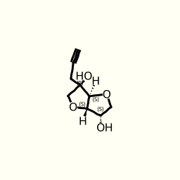 C#CC[C@@]1(O)CO[C@H]2[C@@H](O)CO[C@@H]21